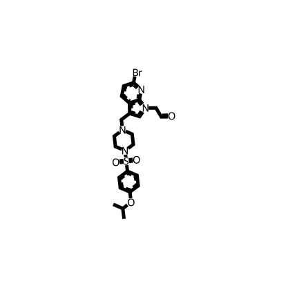 CC(C)Oc1ccc(S(=O)(=O)N2CCN(Cc3cn(CC=O)c4nc(Br)ccc34)CC2)cc1